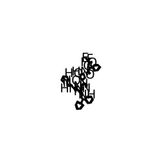 O=C(N[C@H]1C[C@@H](n2cnc3c(NCC(c4ccccc4)c4ccccc4)nc(NCCN4CCCCC4)nc32)[C@H](O)[C@@H]1O)C(OC(=O)C(F)(F)F)c1ccccc1